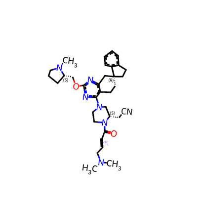 CN(C)C/C=C/C(=O)N1CCN(c2nc(OC[C@@H]3CCCN3C)nc3c2CC[C@]2(CCc4ccccc42)C3)C[C@@H]1CC#N